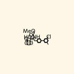 COCC(=O)N[C@@H](Cc1ccc(-c2cc(C)cc(Cl)c2)cc1)[C@H](O)C1OCCOC1=O